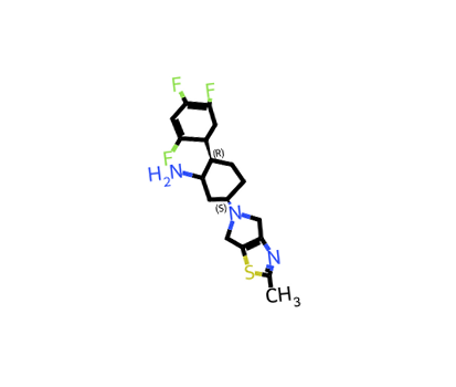 Cc1nc2c(s1)CN([C@H]1CC[C@H](C3CC(F)=C(F)C=C3F)C(N)C1)C2